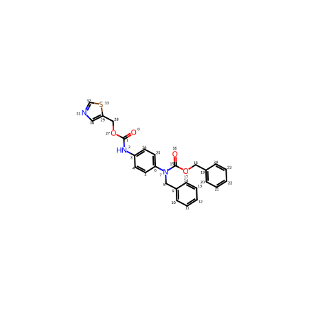 O=C(Nc1ccc(N(Cc2ccccc2)C(=O)OCc2ccccc2)cc1)OCc1cncs1